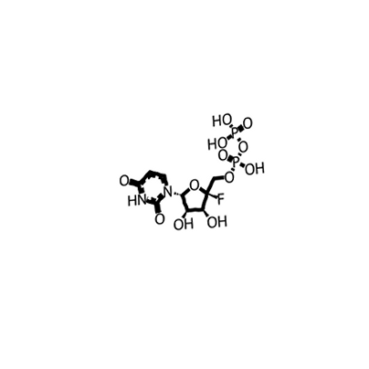 O=c1ccn([C@@H]2O[C@](F)(COP(=O)(O)OP(=O)(O)O)[C@@H](O)[C@H]2O)c(=O)[nH]1